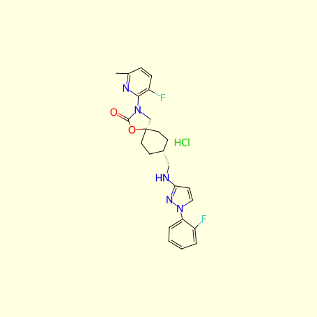 Cc1ccc(F)c(N2C[C@]3(CC[C@@H](CNc4ccn(-c5ccccc5F)n4)CC3)OC2=O)n1.Cl